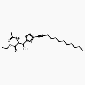 CCCCCCCCCCC#Cc1ccc(C(O)C(NC(C)=O)C(=O)OCC)s1